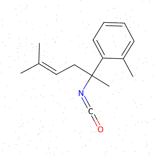 CC(C)=CCC(C)(N=C=O)c1ccccc1C